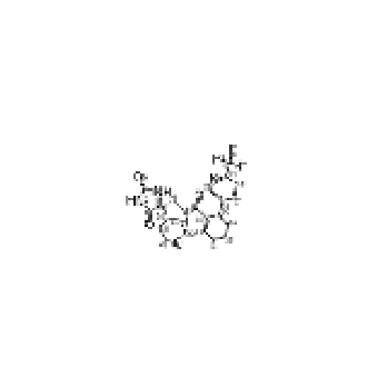 O=C1NC(=O)[C@](CNC(=O)c2ccccc2-c2ccc(C(F)(F)F)nc2)(C2CCOCC2)N1